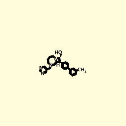 Cc1cccc(-c2ccc([C@@H]3[C@@H](CO)N4CCCCN(Cc5cncnc5)C[C@@H]34)cc2)c1